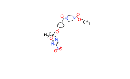 CCOC(=O)N1CCN(C(=O)c2ccc(OC[C@@]3(C)Cn4cc([N+](=O)[O-])nc4O3)cc2)CC1